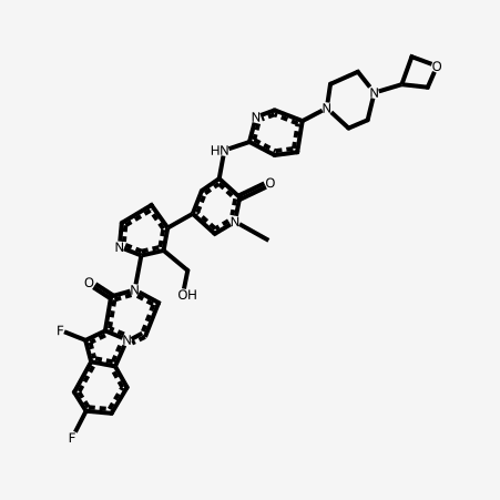 Cn1cc(-c2ccnc(-n3ccn4c(c(F)c5cc(F)ccc54)c3=O)c2CO)cc(Nc2ccc(N3CCN(C4COC4)CC3)cn2)c1=O